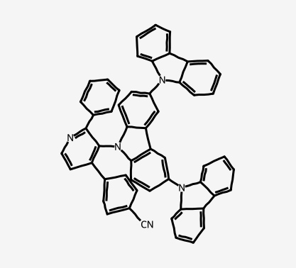 N#Cc1ccc(-c2ccnc(-c3ccccc3)c2-n2c3ccc(-n4c5ccccc5c5ccccc54)cc3c3cc(-n4c5ccccc5c5ccccc54)ccc32)cc1